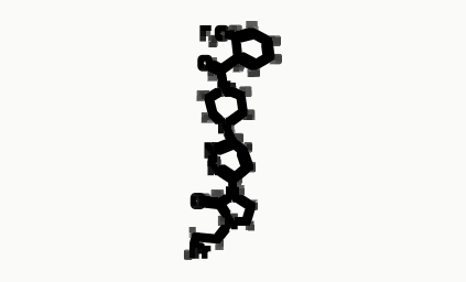 CC(C)CCN1CCN(c2ccc(N3CCN(C(=O)c4ccccc4C(F)(F)F)CC3)nn2)C1=O